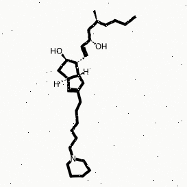 CCCC[C@H](C)C[C@H](O)/C=C/[C@@H]1[C@H]2CC(CCCCCCN3CCCCC3)=C[C@H]2C[C@H]1O